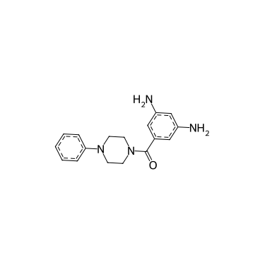 Nc1cc(N)cc(C(=O)N2CCN(c3ccccc3)CC2)c1